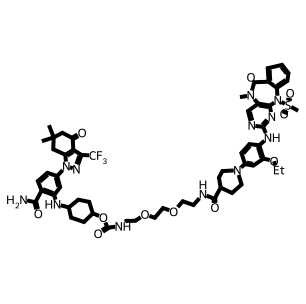 CCOc1cc(N2CCC(C(=O)NCCOCCOCCNC(=O)OC3CCC(Nc4cc(-n5nc(C(F)(F)F)c6c5CC(C)(C)CC6=O)ccc4C(N)=O)CC3)CC2)ccc1Nc1ncc2c(n1)N(S(C)(=O)=O)c1ccccc1C(=O)N2C